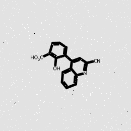 N#Cc1cc(-c2cccc(C(=O)O)c2O)c2ccccc2n1